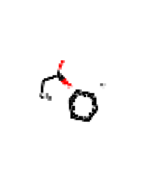 CCC(=O)[O-].[K+].c1ccccc1